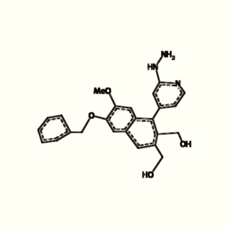 COc1cc2c(-c3ccnc(NN)c3)c(CO)c(CO)cc2cc1OCc1ccccc1